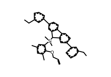 C=CCOc1c(C)cc(C)cc1[Si](C)(C)C1c2cc(-c3cccc(CC)c3)ccc2-c2ccc(-c3cccc(CC)c3)cc21